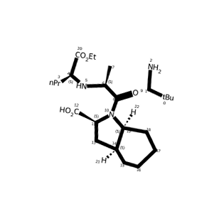 CC(C)(C)CN.CCC[C@H](N[C@@H](C)C(=O)N1[C@H](C(=O)O)C[C@@H]2CCCC[C@@H]21)C(=O)OCC